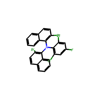 Fc1cc(Cl)c(N(c2c(Br)ccc3ccccc23)c2c(Br)ccc3ccccc23)c(Cl)c1